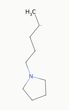 C[CH]CCCN1CCCC1